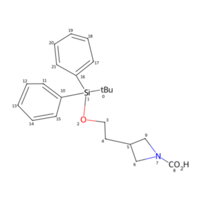 CC(C)(C)[Si](OCCC1CN(C(=O)O)C1)(c1ccccc1)c1ccccc1